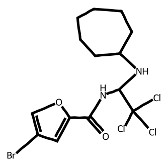 O=C(NC(NC1CCCCCC1)C(Cl)(Cl)Cl)c1cc(Br)co1